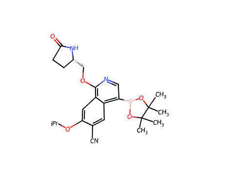 CC(C)Oc1cc2c(OC[C@@H]3CCC(=O)N3)ncc(B3OC(C)(C)C(C)(C)O3)c2cc1C#N